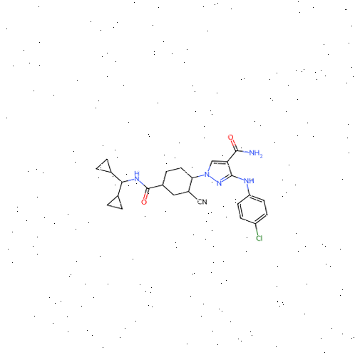 N#CC1CC(C(=O)NC(C2CC2)C2CC2)CCC1n1cc(C(N)=O)c(Nc2ccc(Cl)cc2)n1